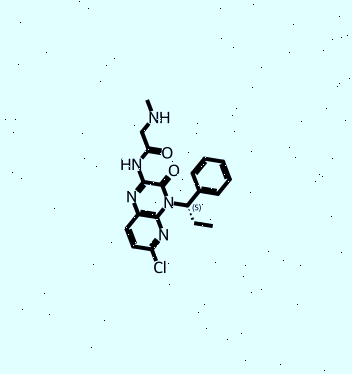 CC[C@@H](c1ccccc1)n1c(=O)c(NC(=O)CNC)nc2ccc(Cl)nc21